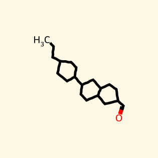 CCCC1CCC(C2CCC3CC(C=O)CCC3C2)CC1